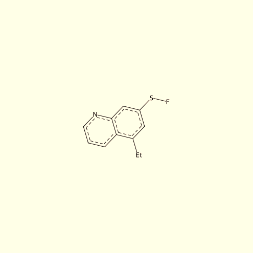 CCc1cc(SF)cc2ncccc12